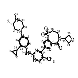 C[C@H]1CN(c2ccc(Nc3ncc(C(F)(F)F)c(-c4cc5c(s4)C(=O)N(C4COC4)CCS5(=O)=O)n3)c(C3CC3)c2)CCN1C